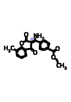 CCOC(=O)c1ccc(/C(N)=C2/C(=O)Oc3c(C)cccc3C2=O)cc1